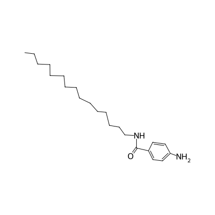 CCCCCCCCCCCCCCCNC(=O)c1ccc(N)cc1